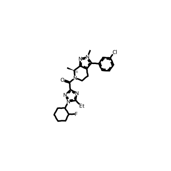 CCc1nc(C(=O)N2CCc3c(nn(C)c3-c3cccc(Cl)c3)[C@@H]2C)nn1C1CCCCC1F